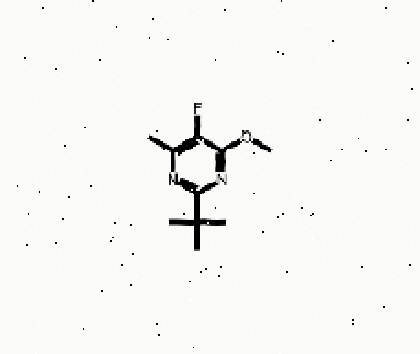 COc1nc(C(C)(C)C)nc(C)c1F